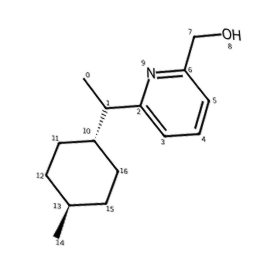 CC(c1cccc(CO)n1)[C@H]1CC[C@H](C)CC1